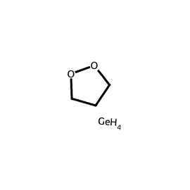 C1COOC1.[GeH4]